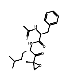 CC(=O)N[C@@H](Cc1ccccc1)C(=O)N[C@@H](CCC(C)C)C(=O)[C@@]1(C)CO1